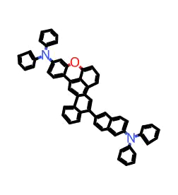 c1ccc(N(c2ccccc2)c2ccc3c(c2)Oc2cccc4c2c-3cc2c3ccccc3c(-c3ccc5cc(N(c6ccccc6)c6ccccc6)ccc5c3)cc42)cc1